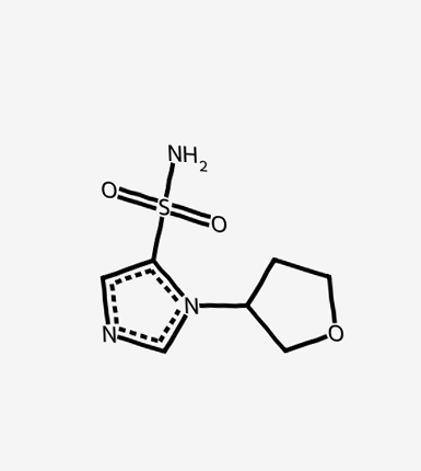 NS(=O)(=O)c1cncn1C1CCOC1